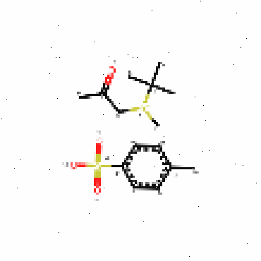 CC(=O)C[S+](C)C(C)(C)C.Cc1ccc(S(=O)(=O)[O-])cc1